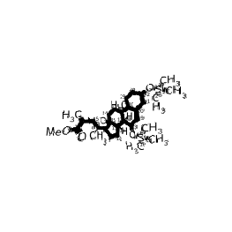 COC(=O)C(C)C[C@@H](C)C1CC[C@H]2[C@@H]3C(O[Si](C)(C)C)CC4CC(O[Si](C)(C)C)CCC4(C)[C@H]3CCC12C